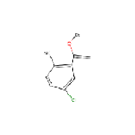 C=C(OCC)c1cc(Cl)ccc1C#N